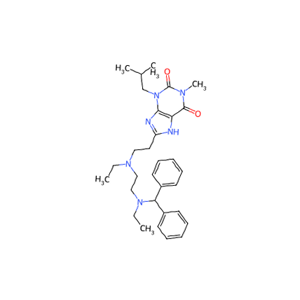 CCN(CCc1nc2c([nH]1)c(=O)n(C)c(=O)n2CC(C)C)CCN(CC)C(c1ccccc1)c1ccccc1